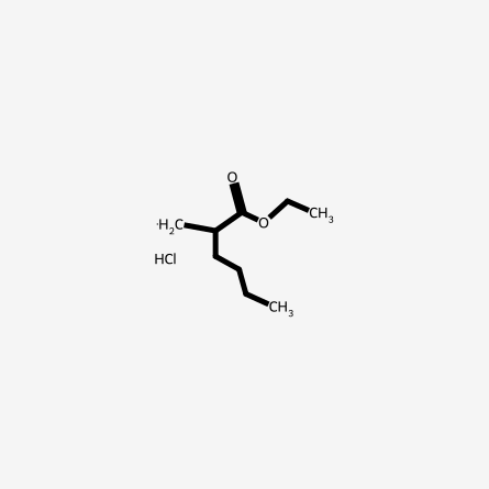 Cl.[CH2]C(CCCC)C(=O)OCC